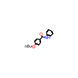 CCCCOc1ccc(C(=O)Nc2ccccc2)cc1